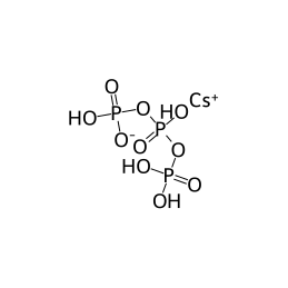 O=P([O-])(O)OP(=O)(O)OP(=O)(O)O.[Cs+]